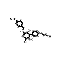 [C-]#[N+]c1c(Cl)nc(SCc2ccc(OC)nc2)c(C#N)c1-c1ccc(OCCO)cc1